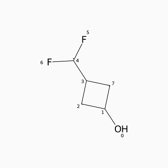 OC1CC([C](F)F)C1